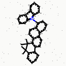 CC1(C)c2ccccc2-c2ccc3c(ccc4c(-n5c6ccccc6c6ccccc65)cccc43)c2C1(C)C